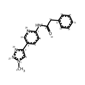 Cn1cc(-c2ccc(NC(=O)Cc3ccccc3)nc2)nn1